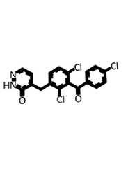 O=C(c1ccc(Cl)cc1)c1c(Cl)ccc(Cc2ccn[nH]c2=O)c1Cl